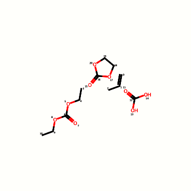 C=CC.CCOC(=O)OCC.O=C(O)O.O=C1OCCO1